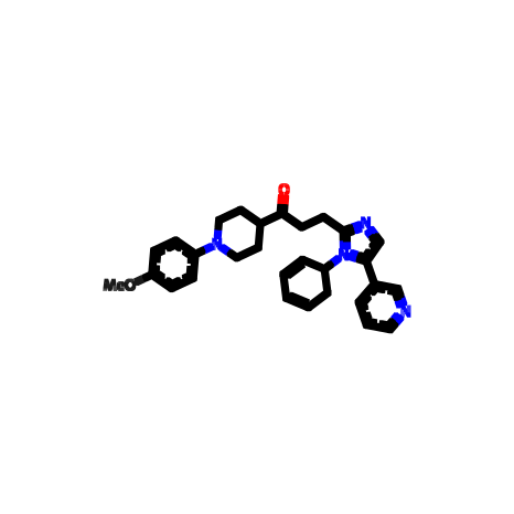 COc1ccc(N2CCC(C(=O)CCc3ncc(-c4cccnc4)n3C3C=CC=CC3)CC2)cc1